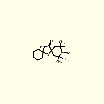 CC(=O)N1C(C)(C)CC2(CC1(C)C)OC1(CCCCC1)NC2=O